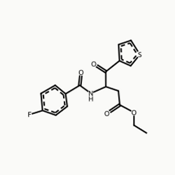 CCOC(=O)CC(NC(=O)c1ccc(F)cc1)C(=O)c1ccsc1